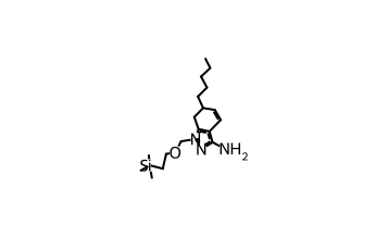 CCCCCC1C=Cc2c(N)nn(COCC[Si](C)(C)C)c2C1